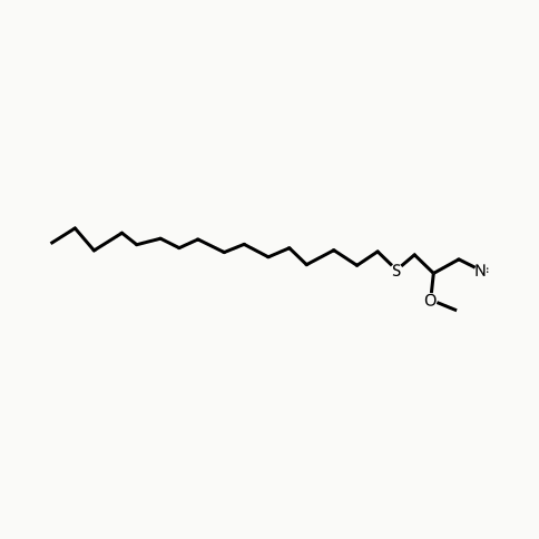 CCCCCCCCCCCCCCCCSCC(C[N])OC